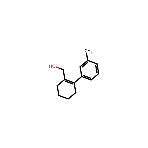 Cc1cccc(C2=C(CO)CCCC2)c1